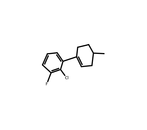 CC1CC=C(c2cccc(F)c2Cl)CC1